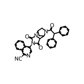 N#Cc1ncc(N2C(=O)C3C4CC(CN4C(=O)C(c4ccccc4)c4ccccc4)N3C2=O)c2ccccc12